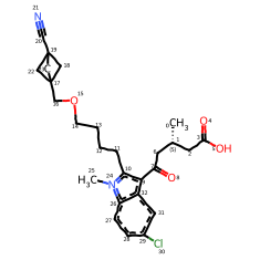 C[C@H](CC(=O)O)CC(=O)c1c(CCCCOCC23CC(C#N)(C2)C3)n(C)c2ccc(Cl)cc12